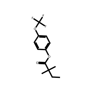 CCC(C)(C)C(=O)Oc1ccc(OC(F)(F)F)cc1